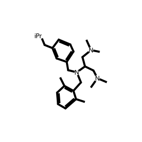 Cc1cccc(C)c1CN(Cc1cccc(CC(C)C)c1)C(CN(C)C)CN(C)C